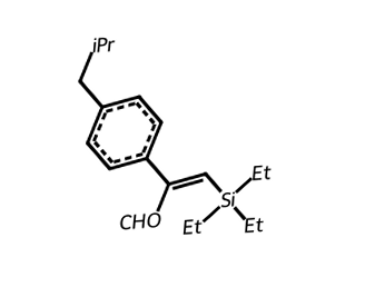 CC[Si](C=C(C=O)c1ccc(CC(C)C)cc1)(CC)CC